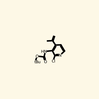 C=C(C)c1ccnc(Cl)c1NC(=O)OC(C)(C)C